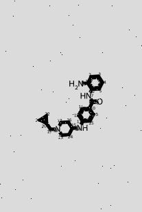 Nc1ccccc1NC(=O)c1ccc(NC2CCN(CC3CC3)CC2)cc1